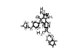 CN(C[C@H]1CCc2ccccc2O1)c1ncc2c3[nH]nc(N)c3c(=O)n(-c3ccc(CN4CCCC4)cc3)c2n1